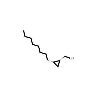 CCCCCCCC[C@H]1C[C@H]1CO